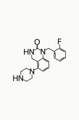 O=C1NCc2c(N3CCNCC3)cccc2N1Cc1ccccc1F